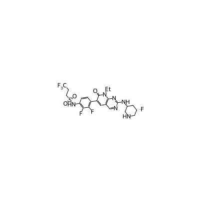 CCn1c(=O)c(-c2ccc(NS(=O)(=O)CCC(F)(F)F)c(F)c2F)cc2cnc(N[C@@H]3CNC[C@@H](F)C3)nc21